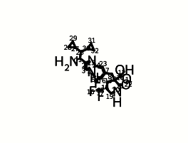 N[C@H](c1cn2ncc(CC3(C(=O)O)C[C@@H](C(F)(F)F)CNC3=O)cc2n1)C(C1CC1)C1CC1